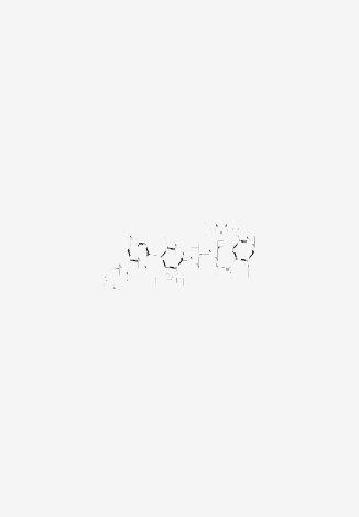 CCCCc1cc(-c2cncc(N3CCOCC3)n2)c(C)nc1NCN(CC)C(=O)[C@H](C)c1cc(OC)ncc1F